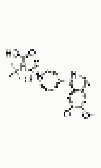 COc1cc2ncnc(C3=CC=CN(S(=O)(=O)N(C(=O)O)C(C)(C)C)C=C3)c2cc1OC